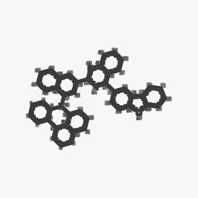 c1ccc2c(c1)-c1cccc3cccc(c13)N2c1cc(-c2nc(-c3ccc4oc5ccccc5c4c3)c3ccccc3n2)cc2ccccc12